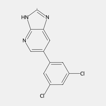 Clc1cc(Cl)cc(-c2cnc3[nH][c]nc3c2)c1